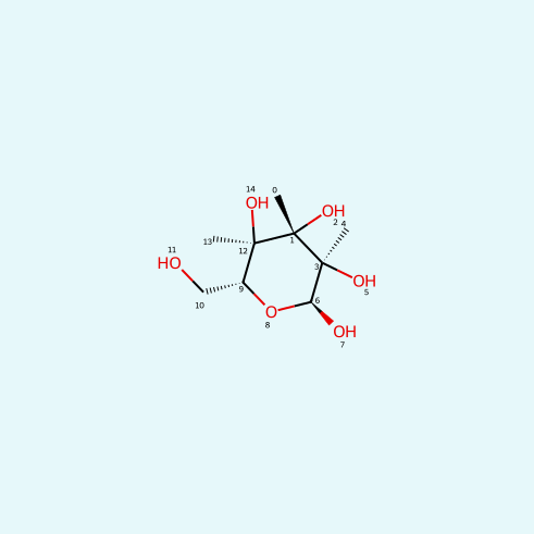 C[C@@]1(O)[C@@](C)(O)[C@@H](O)O[C@H](CO)[C@@]1(C)O